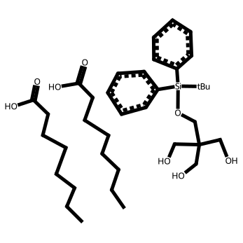 CC(C)(C)[Si](OCC(CO)(CO)CO)(c1ccccc1)c1ccccc1.CCCCCCCC(=O)O.CCCCCCCC(=O)O